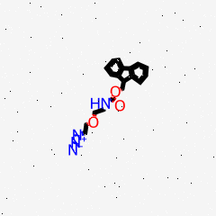 [N-]=[N+]=NCCOCCNC(=O)OCC1c2ccccc2-c2ccccc21